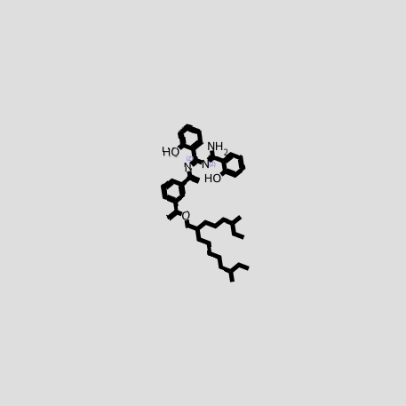 C=C(/N=C(\N=C(/N)c1ccccc1O)c1ccccc1O)c1cccc(C(=C)OCC(CCCCCC(C)CC)CCCC(C)CC)c1